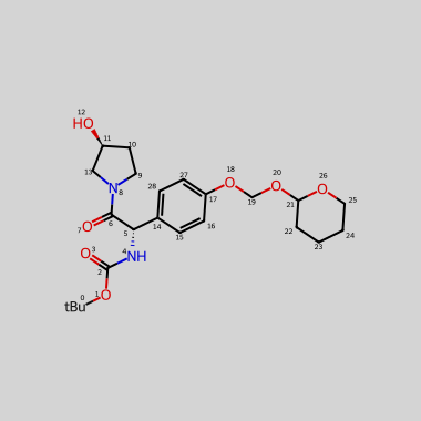 CC(C)(C)OC(=O)N[C@H](C(=O)N1CC[C@H](O)C1)c1ccc(OCOC2CCCCO2)cc1